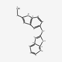 OCc1cc2cc(Oc3nc4cccnc4s3)ccc2o1